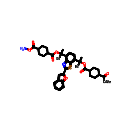 CCC(C)(OC(=O)C1CCC(C(=O)ON)CC1)c1ccc(C(C)(CC)OC(=O)C2CCC(C(=O)OC)CC2)c2sc(-c3cc4ccccc4o3)nc12